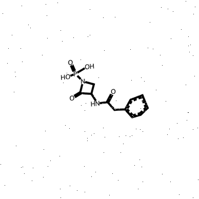 O=C(Cc1ccccc1)NC1CN(P(=O)(O)O)C1=O